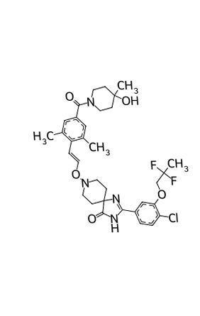 Cc1cc(C(=O)N2CCC(C)(O)CC2)cc(C)c1/C=C/ON1CCC2(CC1)N=C(c1ccc(Cl)c(OCC(C)(F)F)c1)NC2=O